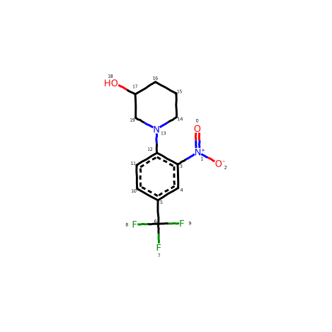 O=[N+]([O-])c1cc(C(F)(F)F)ccc1N1CCCC(O)C1